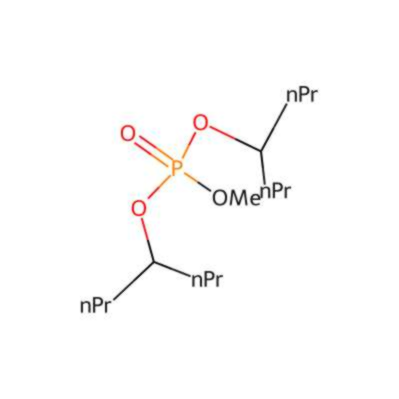 CCCC(CCC)OP(=O)(OC)OC(CCC)CCC